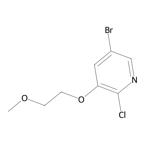 COCCOc1cc(Br)cnc1Cl